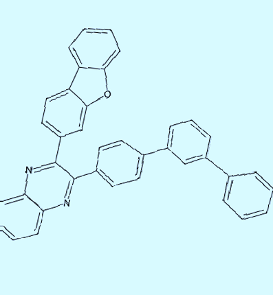 c1ccc(-c2cccc(-c3ccc(-c4nc5ccccc5nc4-c4ccc5c(c4)oc4ccccc45)cc3)c2)cc1